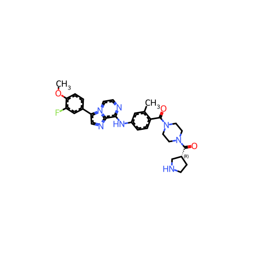 COc1ccc(-c2cnc3c(Nc4ccc(C(=O)N5CCN(C(=O)[C@@H]6CCNC6)CC5)c(C)c4)nccn23)cc1F